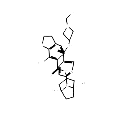 CCN1CC(NC(=O)c2ccc(N3[C@@H]4CC[C@H]3C[C@@H](NC(=O)c3ccc5c(c3C)OCC5)C4)nc2)C1